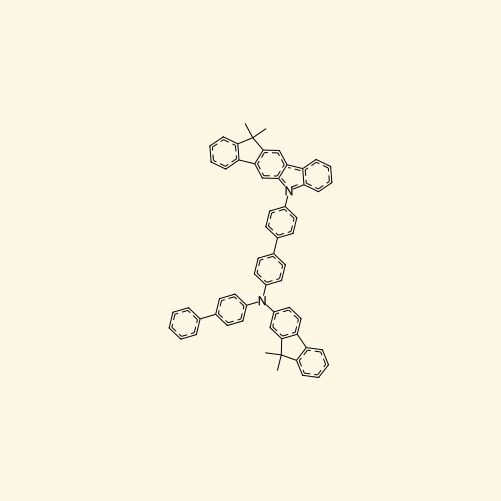 CC1(C)c2ccccc2-c2ccc(N(c3ccc(-c4ccccc4)cc3)c3ccc(-c4ccc(-n5c6ccccc6c6cc7c(cc65)-c5ccccc5C7(C)C)cc4)cc3)cc21